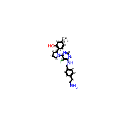 NCCc1ccc(CNc2ncnc(N3CCCC3c3ccc(C(F)(F)F)cc3O)c2F)cc1